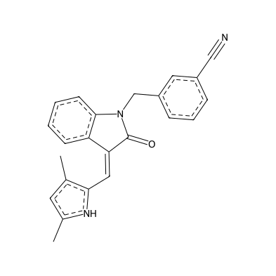 Cc1cc(C)c(C=C2C(=O)N(Cc3cccc(C#N)c3)c3ccccc32)[nH]1